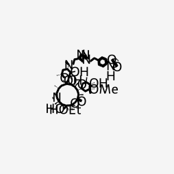 CC[C@H]1OC(=O)[C@H](C)[C@@H](C2C[C@@](C)(OC)[C@@H](O)[C@H](C)O2)[C@H](C)[C@@H](O[C@@H]2O[C@H](C)C[C@H](N(C)CCc3cn(CCc4ccc(NS(C)(=O)=O)cc4)nn3)[C@H]2O)[C@](C)(O)C[C@@H](C)CN(C)[C@H](C)[C@@H](O)[C@]1(C)O